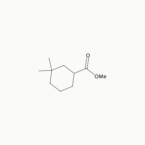 COC(=O)C1CCCC(C)(C)C1